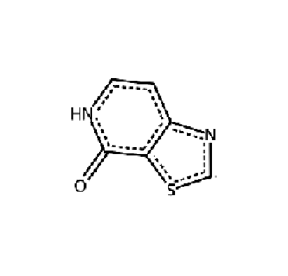 O=c1[nH]ccc2n[c]sc12